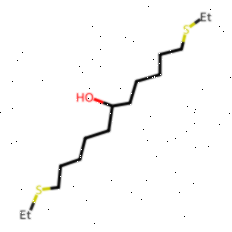 CCSCCCCCC(O)CCCCCSCC